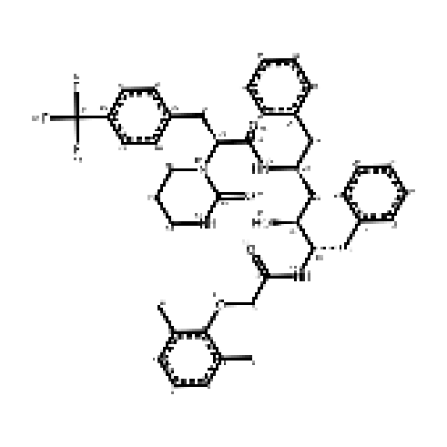 Cc1cccc(C)c1OCC(=O)N[C@@H](Cc1ccccc1)[C@@H](O)C[C@H](Cc1ccccc1)NC(=O)[C@H](Cc1ccc(C(F)(F)F)cc1)N1CCCNC1=O